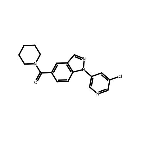 O=C(c1ccc2c(cnn2-c2cncc(Cl)c2)c1)N1CCCCC1